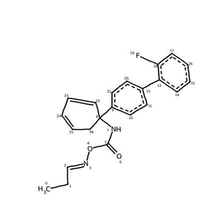 CCC=NOC(=O)NC1(c2ccc(-c3ccccc3F)cc2)C=CC=CC1